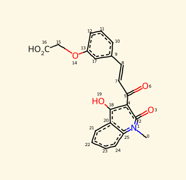 Cn1c(=O)c(C(=O)C=Cc2cccc(OCC(=O)O)c2)c(O)c2ccccc21